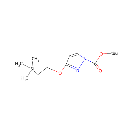 CC(C)(C)OC(=O)n1ccc(OCC[Si](C)(C)C)n1